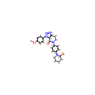 COc1ccc(-n2nnc3c2C(=O)N(c2ccc(N4CCCCC4=O)cc2)CC3)cc1